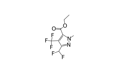 CCOC(=O)c1c(C(F)(F)F)c(C(F)F)nn1C